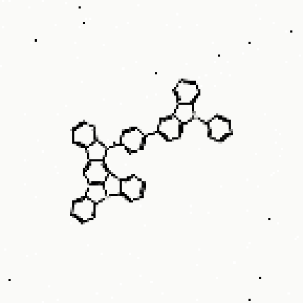 c1ccc(-n2c3ccccc3c3cc(-c4ccc(-n5c6ccccc6c6cc7c8ccccc8n8c9ccccc9c(c65)c78)cc4)ccc32)cc1